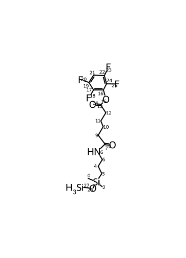 C[Si](C)(CCCNC(=O)CCCCC(=O)Oc1c(F)c(F)cc(F)c1F)O[SiH3]